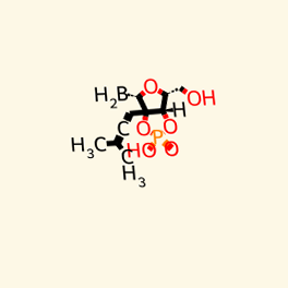 B[C@@H]1O[C@H](CO)[C@@H]2OP(=O)(O)OC12C=C=C(C)C